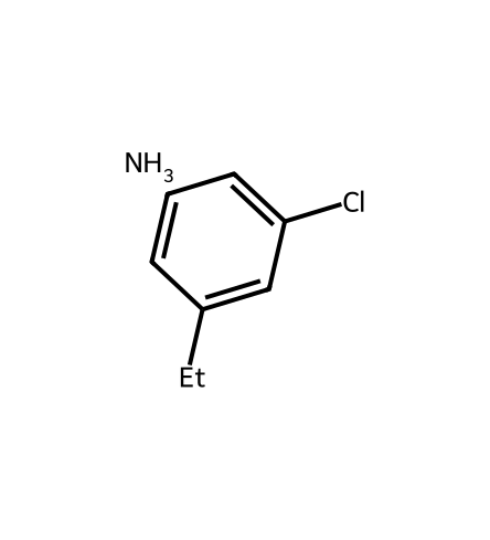 CCc1cccc(Cl)c1.N